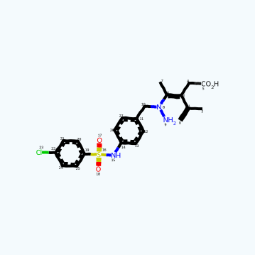 C=C(C)/C(CC(=O)O)=C(/C)N(N)Cc1ccc(NS(=O)(=O)c2ccc(Cl)cc2)cc1